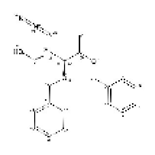 C[C@@H](OCc1ccccc1)[C@@H](OCc1ccccc1)[C@H](CO)N=[N+]=[N-]